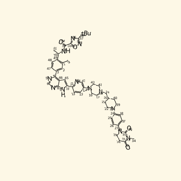 Cc1cc(-c2ncnc3[nH]c(-c4ccc(N5CCN(CC6CCN(c7ccc(N8CCC(=O)N(C)C8=O)cc7)CC6)CC5)cn4)cc23)ccc1C(C)NC(=O)c1nc(C(C)(C)C)no1